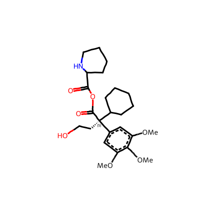 COc1cc([C@@](CCO)(C(=O)OC(=O)C2CCCCN2)C2CCCCC2)cc(OC)c1OC